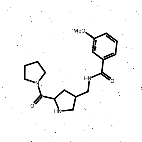 COc1cccc(C(=O)NCC2CNC(C(=O)N3CCCC3)C2)c1